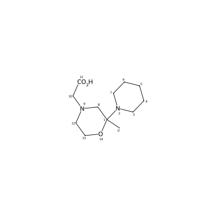 CC1(N2CCCCC2)CN(CC(=O)O)CCO1